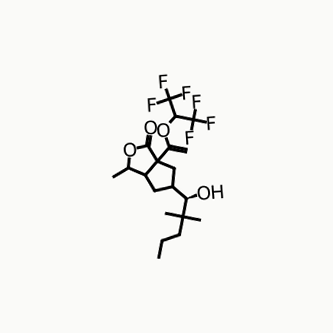 C=C(OC(C(F)(F)F)C(F)(F)F)C12CC([C@@H](O)C(C)(C)CCC)CC1C(C)OC2=O